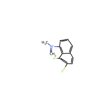 C=[N+](C)c1cccc2ccc(F)c(F)c12